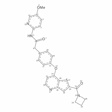 COc1ccc(NC(=O)Cc2ccc(Oc3ccnc4cc(C(=O)N5CCC5)sc34)cc2)nc1